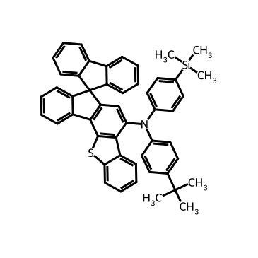 CC(C)(C)c1ccc(N(c2ccc([Si](C)(C)C)cc2)c2cc3c(c4sc5ccccc5c24)-c2ccccc2C32c3ccccc3-c3ccccc32)cc1